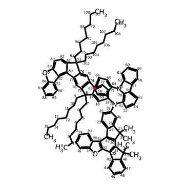 CCCCCCCCC1(CCCCCCCC)c2cc(N(c3ccc4c(c3)C(C)(C)c3c5c(c6oc7ccccc7c6c3-4)-c3ccccc3C5(C)C)c3cccc4c5ccccc5n(-c5ccccc5)c34)ccc2-c2cc3c(cc21)-c1c(ccc2oc4ccccc4c12)C3(CCCCCCCC)CCCCCCCC